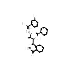 CC(C)C(=NNC(=O)C(NC(=O)c1ccccc1)c1n[nH]c(=O)c2ccccc12)c1cccc(Br)c1